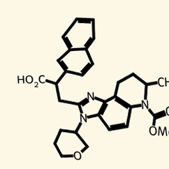 COC(=O)N1c2ccc3c(nc(CC(C(=O)O)c4ccc5ccccc5c4)n3C3CCCOC3)c2CCC1C